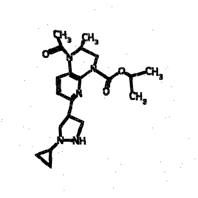 CC(=O)N1c2ccc(C3CNN(C4CC4)C3)nc2N(C(=O)OC(C)C)C[C@@H]1C